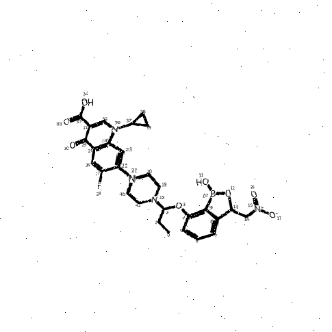 CCC(Oc1cccc2c1B(O)OC2C[N+](=O)[O-])N1CCN(c2cc3c(cc2F)c(=O)c(C(=O)O)cn3C2CC2)CC1